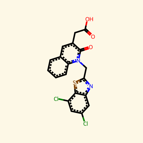 O=C(O)Cc1cc2ccccc2n(Cc2nc3cc(Cl)cc(Cl)c3s2)c1=O